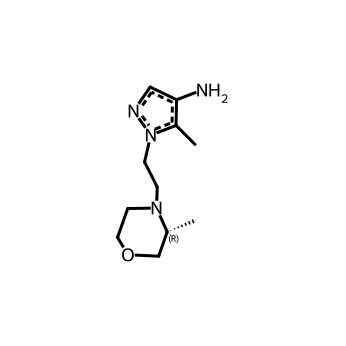 Cc1c(N)cnn1CCN1CCOC[C@H]1C